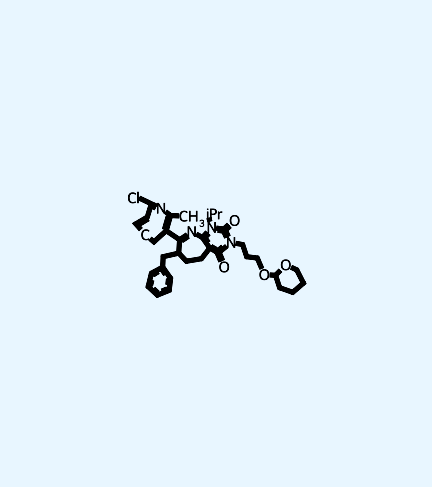 CC1=C(\C2=Nc3c(c(=O)n(CCCOC4CCCCO4)c(=O)n3C(C)C)CCC2Cc2ccccc2)CC/C=C/C(Cl)=N\1